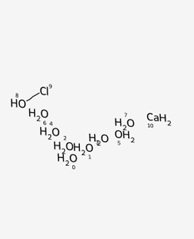 O.O.O.O.O.O.O.O.OCl.[CaH2]